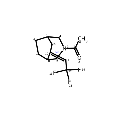 CC(=O)N1CC2CCC(C1)/C(=C\C(F)(F)F)C2